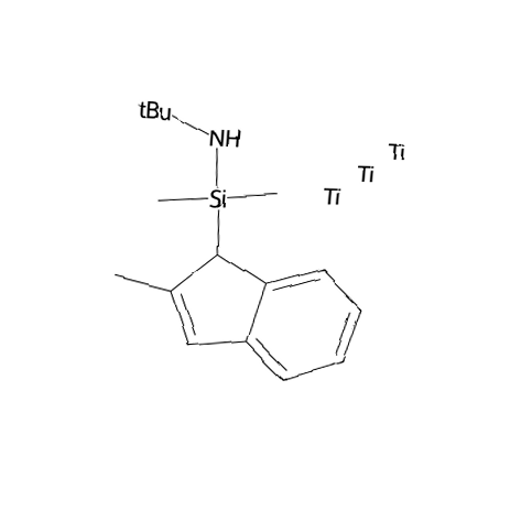 CC1=Cc2ccccc2C1[Si](C)(C)NC(C)(C)C.[Ti].[Ti].[Ti]